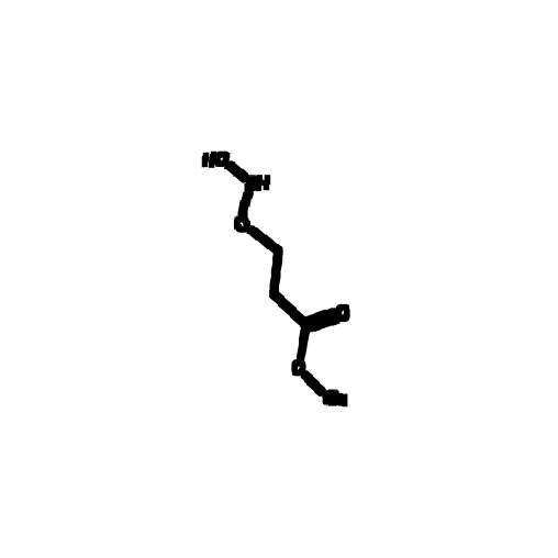 CC(C)(C)OC(=O)CCOBO